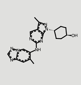 Cc1cc2ncnn2cc1Nc1ncc2c(C)nn([C@H]3CC[C@H](O)CC3)c2n1